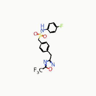 O=S(=O)(Cc1ccc(Cc2noc(C(F)(F)F)n2)cc1)Nc1ccc(F)cc1